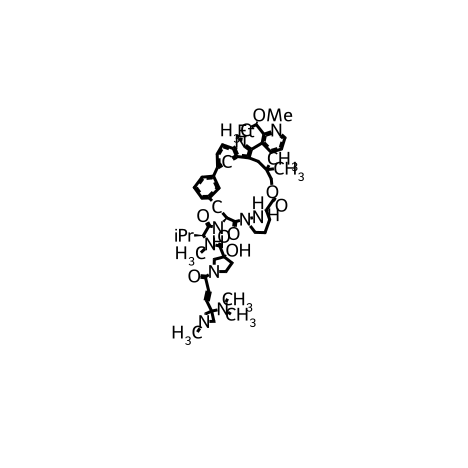 CCn1c(-c2cccnc2[C@H](C)OC)c2c3cc(ccc31)-c1cccc(c1)C[C@H](NC(=O)[C@H](C(C)C)N(C)C(=O)[C@@]1(O)CCN(C(=O)C#CC3(N(C)C)CN(C)C3)C1)C(=O)N1CCC[C@H](N1)C(=O)OCC(C)(C)C2